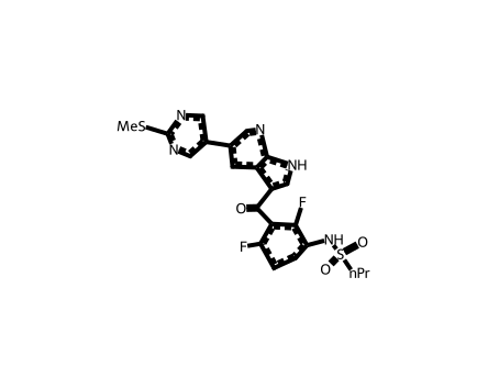 CCCS(=O)(=O)Nc1ccc(F)c(C(=O)c2c[nH]c3ncc(-c4cnc(SC)nc4)cc23)c1F